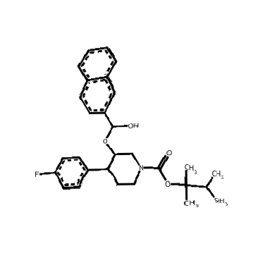 CC([SiH3])C(C)(C)OC(=O)N1CCC(c2ccc(F)cc2)C(OC(O)c2ccc3ccccc3c2)C1